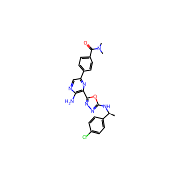 C[C@H](Nc1nnc(-c2nc(-c3ccc(C(=O)N(C)C)cc3)cnc2N)o1)c1ccc(Cl)cc1